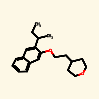 CCC(C)c1cc2ccccc2cc1OCCC1CCOCC1